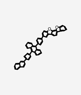 c1ccc2cc(-c3ccc(-c4c5ccccc5c(-c5ccc(-c6ccc7oc8c(ccc9c%10ccccc%10oc98)c7c6)cc5)c5ccccc45)cc3)ccc2c1